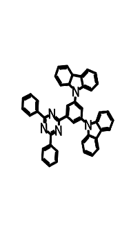 C1=CC2c3ccccc3N(c3cc(-c4nc(-c5ccccc5)nc(-c5ccccc5)n4)cc(-n4c5ccccc5c5ccccc54)c3)C2C=C1